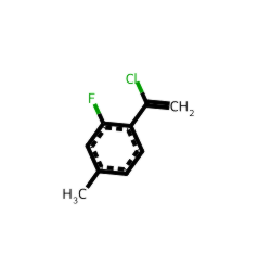 C=C(Cl)c1ccc(C)cc1F